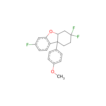 COc1ccc(C23CCC(F)(F)CC2Oc2cc(F)ccc23)cc1